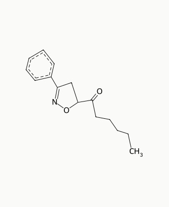 CCCCCC(=O)C1CC(c2ccccc2)=NO1